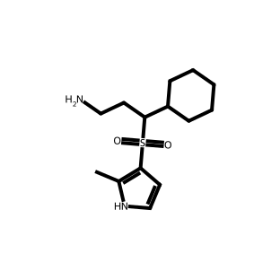 Cc1[nH]ccc1S(=O)(=O)C(CCN)C1CCCCC1